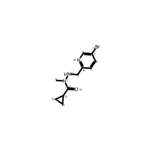 CN(NCc1ccc(Br)cn1)C(=O)C1CC1